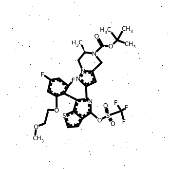 COCCOc1cc(F)cc(F)c1-c1c(-c2cc3n(n2)C[C@@H](C)N(C(=O)OC(C)(C)C)C3)nc(OS(=O)(=O)C(F)(F)F)c2ccsc12